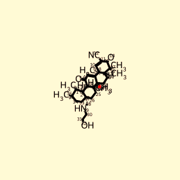 C[C@@H]1[C@H]2[C@H]3C(=O)C=C4[C@@]5(C)C=C(C#N)C(=O)C(C)(C)[C@@H]5CC[C@@]4(C)[C@]3(C)CC[C@@]2(CNCCO)CC[C@H]1C